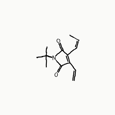 C=CC1=C(/C=C\C)C(=O)N(C(C)(C)C)C1=O